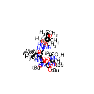 CNC(C(=O)N(C)[C@@H](CCCNC(=N)NS(=O)(=O)c1c(C)c(C)c2c(c1C)CC(C)(C)O2)C(=O)N[C@@H](COC(C)(C)C)C(=O)N[C@@H](CC(=O)OC(C)(C)C)C(=O)N[C@H](C(=O)N[C@@H](CC(C)C)C(=O)O)C(C)OC(C)(C)C)C(C)(C)SC